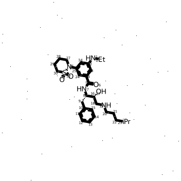 CCNc1cc(C(=O)N[C@@H](Cc2ccccc2)[C@H](O)CNCCCC(C)C)cc(N2CCCCS2(=O)=O)c1